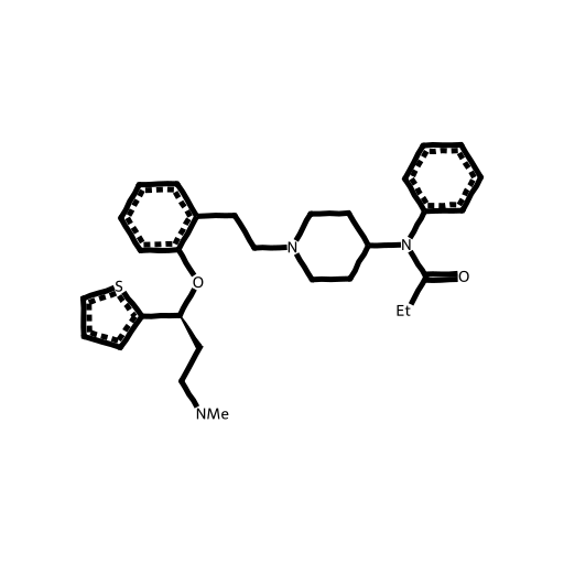 CCC(=O)N(c1ccccc1)C1CCN(CCc2ccccc2O[C@@H](CCNC)c2cccs2)CC1